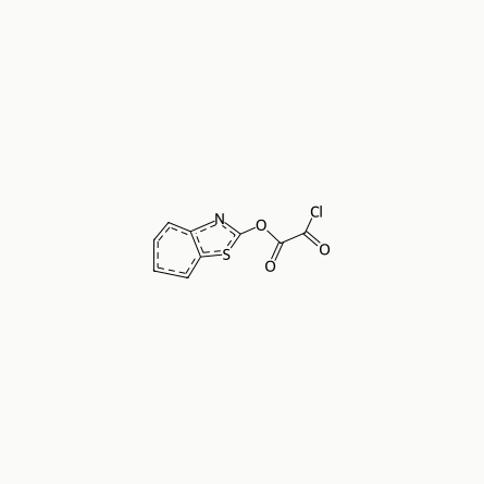 O=C(Cl)C(=O)Oc1nc2ccccc2s1